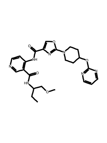 CCC(COC)NC(=O)c1cnccc1NC(=O)c1coc(N2CCC(Oc3ncccn3)CC2)n1